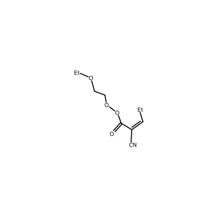 CCC=C(C#N)C(=O)OOCCOCC